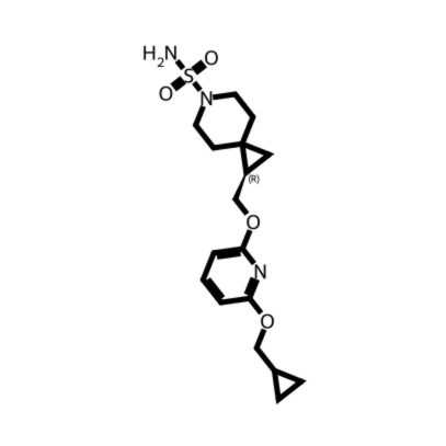 NS(=O)(=O)N1CCC2(CC1)C[C@H]2COc1cccc(OCC2CC2)n1